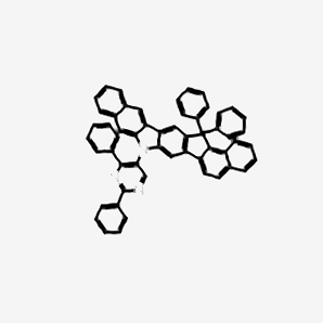 c1ccc(-c2ncc(-n3c4cc5c(cc4c4cc6ccccc6cc43)C(c3ccccc3)(c3ccccc3)c3c-5ccc4ccccc34)c(-c3ccccc3)n2)cc1